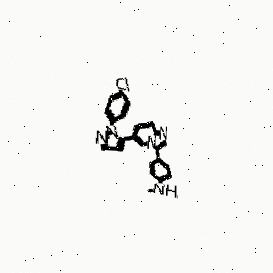 CNc1ccc(-c2cnc3ccc(-c4ccnn4-c4ccc(Cl)cc4)cn23)cc1